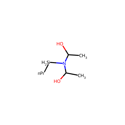 CCC[SiH2]N(C(C)O)C(C)O